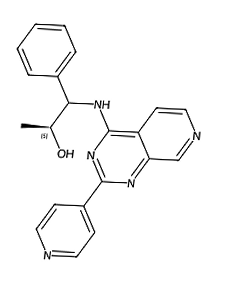 C[C@H](O)C(Nc1nc(-c2ccncc2)nc2cnccc12)c1ccccc1